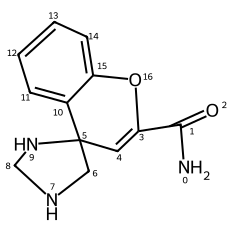 NC(=O)C1=CC2(CNCN2)c2ccccc2O1